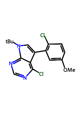 COc1ccc(Cl)c(-c2cn(C(C)(C)C)c3ncnc(Cl)c23)c1